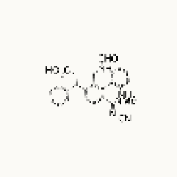 CNC(=NC#N)c1ccc(C(CC(=O)O)c2ccccc2)c(CNC=O)c1-c1ccccc1N